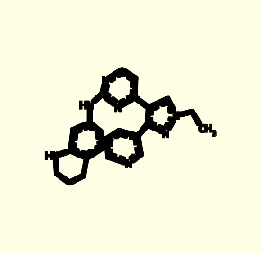 CCn1cc(-c2ccnc(Nc3ccc4c(c3)NCCC4)n2)c(-c2cccnc2)n1